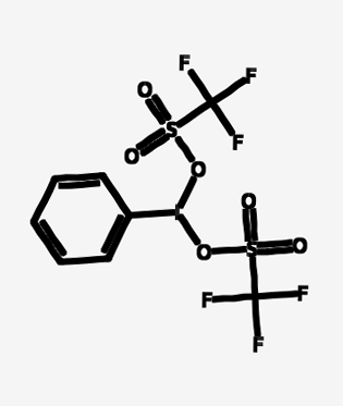 O=S(=O)(OI(OS(=O)(=O)C(F)(F)F)c1ccccc1)C(F)(F)F